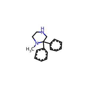 CN1CCNCC1(c1ccccc1)c1ccccc1